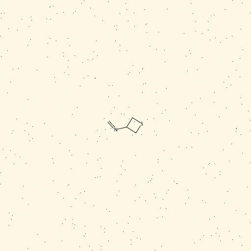 C=NC1CSC1